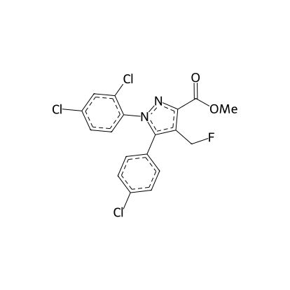 COC(=O)c1nn(-c2ccc(Cl)cc2Cl)c(-c2ccc(Cl)cc2)c1CF